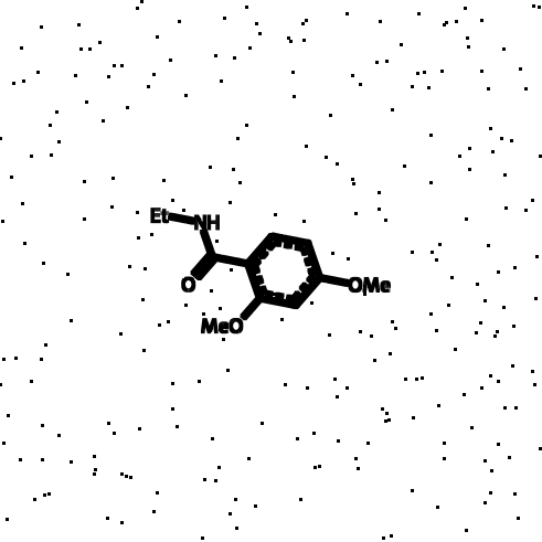 [CH2]CNC(=O)c1ccc(OC)cc1OC